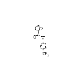 O=C(c1ccco1)C1CC1c1ccc(C(F)(F)F)cc1